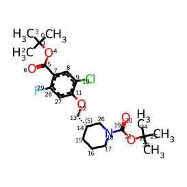 CC(C)(C)OC(=O)c1cc(Cl)c(OC[C@H]2CCCN(C(=O)OC(C)(C)C)C2)cc1F